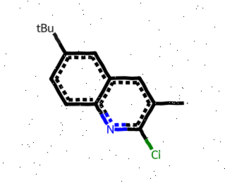 [CH2]c1cc2cc(C(C)(C)C)ccc2nc1Cl